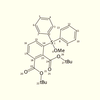 COS(c1ccccc1)(c1ccccc1)c1cccc(C(=O)OC(C)(C)C)c1C(=O)OC(C)(C)C